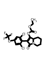 CCOC(=O)OC1=C(c2c(Cl)cc(OC(F)(F)F)cc2Cl)C(=O)N2CCCCC12